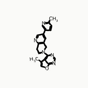 Cc1ccc(-c2cnc3c(c2)CN(c2ncnc4occ(C)c24)CC3)cn1